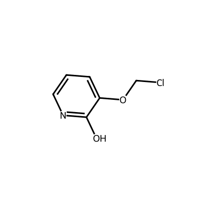 Oc1ncccc1OCCl